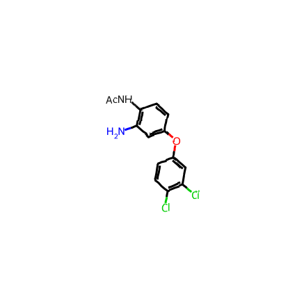 CC(=O)Nc1ccc(Oc2ccc(Cl)c(Cl)c2)cc1N